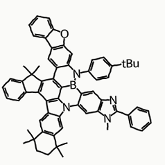 Cn1c(-c2ccccc2)nc2cc3c(cc21)-n1c2cc4c(cc2c2c5c(c6c(c21)B3N(c1ccc(C(C)(C)C)cc1)c1cc2oc3ccccc3c2cc1-6)C(C)(C)c1ccccc1-5)C(C)(C)CCC4(C)C